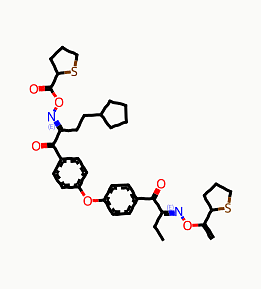 C=C(O/N=C(\CC)C(=O)c1ccc(Oc2ccc(C(=O)/C(CCC3CCCC3)=N/OC(=O)C3CCCS3)cc2)cc1)C1CCCS1